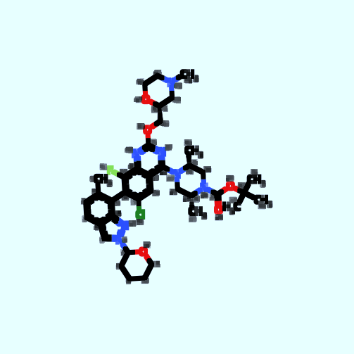 Cc1ccc2cn(C3CCCCO3)nc2c1-c1c(Cl)cc2c(N3C[C@@H](C)N(C(=O)OC(C)(C)C)C[C@@H]3C)nc(OC[C@@H]3CN(C)CCO3)nc2c1F